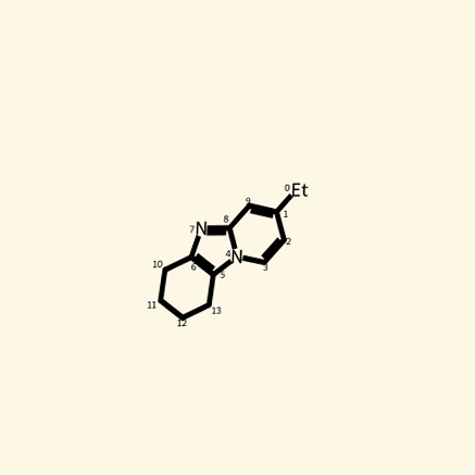 CCc1ccn2c3c(nc2c1)CCCC3